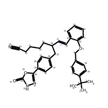 CC(C)(C)c1ccc(COc2ccccc2/C=C/C(CCCCC#N)Cc2ccc(-c3n[nH]c(=O)o3)cc2)cc1